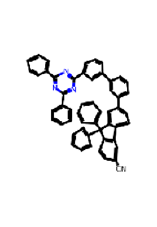 N#Cc1ccc2c(c1)-c1ccc(-c3cccc(-c4cccc(-c5nc(-c6ccccc6)nc(-c6ccccc6)n5)c4)c3)cc1C2(c1ccccc1)c1ccccc1